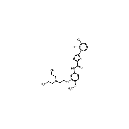 CCCN(CCC)CCOc1cc(NC(=O)c2csc(-c3cccc(Cl)c3Cl)n2)ccc1OC